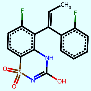 CC=C(c1ccccc1F)c1c(F)ccc2c1NC(O)=NS2(=O)=O